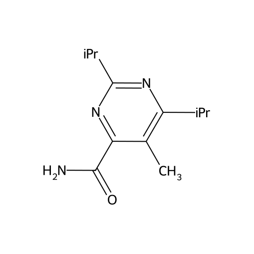 Cc1c(C(N)=O)nc(C(C)C)nc1C(C)C